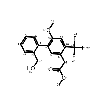 COC(=O)Cc1cc(-c2ccccc2CO)c(OC)cc1C(F)(F)F